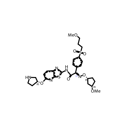 COCCCS(=O)(=O)c1ccc(/C(=N\O[C@@H]2CC[C@@H](OC)C2)C(=O)Nc2nc3ccc(O[C@@H]4CCNC4)nc3s2)cc1